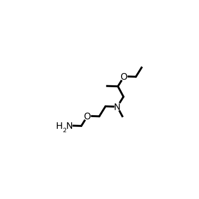 CCOC(C)CN(C)CCOCN